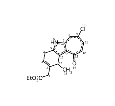 CCOC(=O)CC1=CCc2[nH]c3cc(Cl)ccc(=O)c3c2C1C